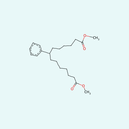 COC(=O)CCCCCCC(CCCCCC(=O)OC)c1ccccc1